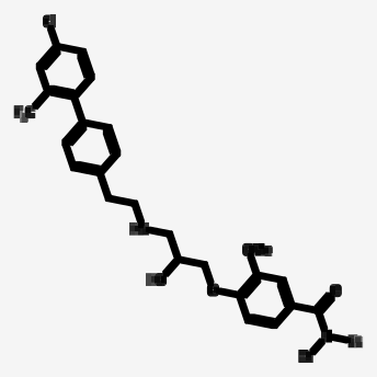 CCN(CC)C(=O)c1ccc(OCC(O)CNCCc2ccc(-c3ccc(Cl)cc3C(F)(F)F)cc2)c(OC)c1